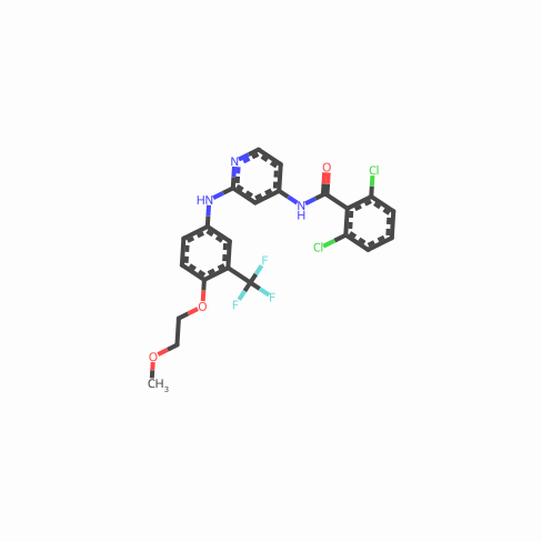 COCCOc1ccc(Nc2cc(NC(=O)c3c(Cl)cccc3Cl)ccn2)cc1C(F)(F)F